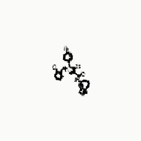 O=C(NC12CCCC3CC(CC3C1)C2)c1cn(Cc2ccccc2Cl)n(-c2ccc(Br)cc2)c1=O